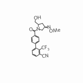 CO/N=C1/CC(CO)N(C(=O)c2ccc(-c3cccc(C#N)c3C(F)(F)F)cc2)C1